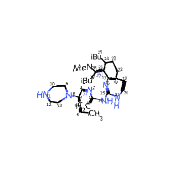 C=C(/N=C\C(=C=CC)N1CCNCC1)NC1=NC2=C(C#CN1)CCC(C(C)CC)/C2=C(\NC)C(C)CC